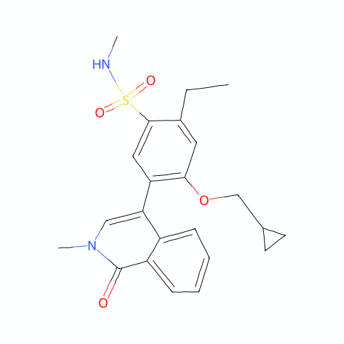 CCc1cc(OCC2CC2)c(-c2cn(C)c(=O)c3ccccc23)cc1S(=O)(=O)NC